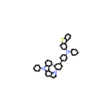 c1ccc(N(c2ccc(-c3ccc(-n4ccc5ccc6c(c7ccccc7n6-c6ccccc6)c54)cc3)cc2)c2ccc3sc4ccccc4c3c2)cc1